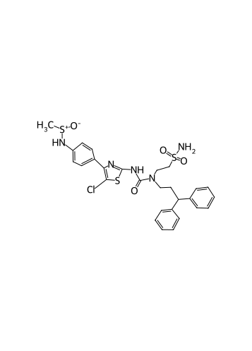 C[S+]([O-])Nc1ccc(-c2nc(NC(=O)N(CCC(c3ccccc3)c3ccccc3)CCS(N)(=O)=O)sc2Cl)cc1